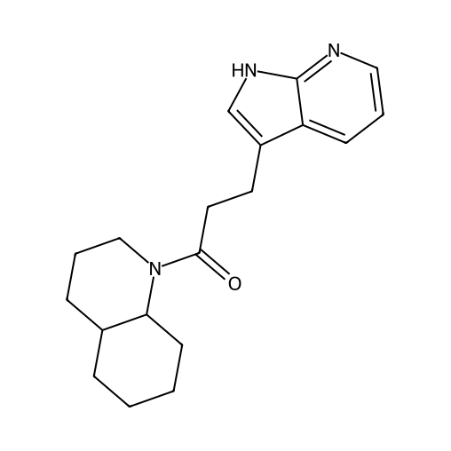 O=C(CCc1c[nH]c2ncccc12)N1CCCC2CCCCC21